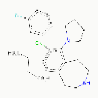 Fc1ccc(C2CCCN2c2c(Cl)ccc3c2CCNCC3)cc1.O=C(O)CCC(=O)O